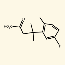 Cc1ccc(F)cc1C(C)(C)CC(=O)C(=O)O